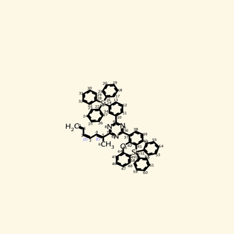 C=C/C=C\C=C(/C)c1nc(-c2cccc([Si](c3ccccc3)(c3ccccc3)c3ccccc3)c2)nc(-c2cccc3c2Oc2ccccc2[Si]3(c2ccccc2)c2ccccc2)n1